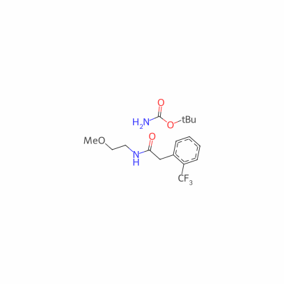 CC(C)(C)OC(N)=O.COCCNC(=O)Cc1ccccc1C(F)(F)F